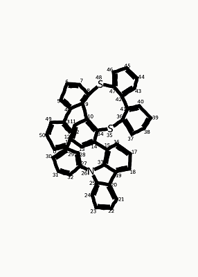 c1ccc(-c2cccc3c2-c2cccc(-c4cccc5c6ccccc6n(-c6ccccc6)c45)c2Sc2ccccc2-c2ccccc2S3)cc1